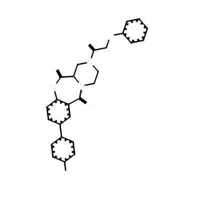 O=C1Nc2ccc(-c3ccc(Cl)cc3)cc2C(=O)N2CCN(C(=O)COc3ccccc3)C[C@H]12